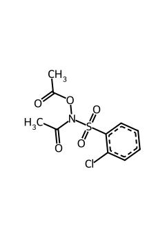 CC(=O)ON(C(C)=O)S(=O)(=O)c1ccccc1Cl